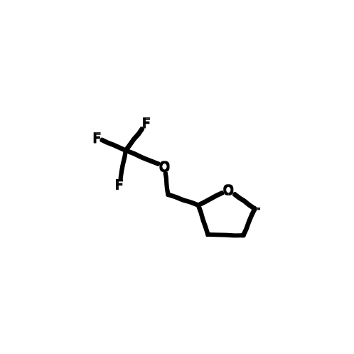 FC(F)(F)OCC1CC[CH]O1